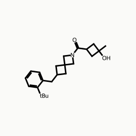 CC1(O)CC(C(=O)N2CC3(CC(Cc4ccccc4C(C)(C)C)C3)C2)C1